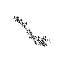 CN1C(=O)C[C@H](C(=O)NCCN(CC(=O)O)CC(=O)NCCOC2CCC(OCCCC(=O)NC3CCC(C(=O)OC(C)(C)C)CC3)CC2)[C@H]1c1cccnc1